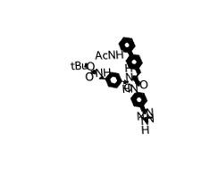 CC(=O)Nc1ccccc1-c1ccc(C[C@H](NC(=O)[C@H]2CC[C@H](CNC(=O)OC(C)(C)C)CC2)C(=O)Nc2ccc(-c3nn[nH]n3)cc2)cc1